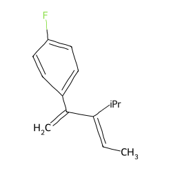 C=C(/C(=C/C)C(C)C)c1ccc(F)cc1